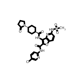 CS(=O)(=O)Nc1ccc2oc(C(=O)Nc3ccc(Cl)cn3)c(NC(=O)[C@H]3CC[C@H](N4CCCC4=O)CC3)c2n1